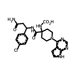 NC(=O)CC(NC(=O)C1(NC(=O)O)CCN(c2ncnc3[nH]ccc23)CC1)c1ccc(Cl)cc1